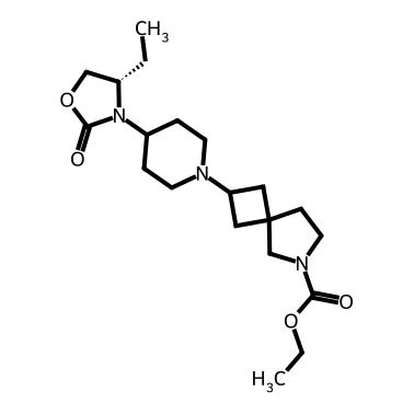 CCOC(=O)N1CCC2(CC(N3CCC(N4C(=O)OC[C@@H]4CC)CC3)C2)C1